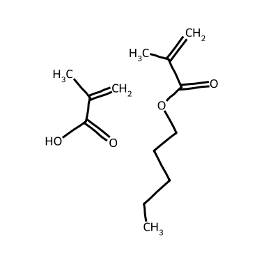 C=C(C)C(=O)O.C=C(C)C(=O)OCCCCC